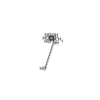 CC1=C(NCCCCCCCCCCCCCCCCO)N2[C@H](O)[C@H](O)[C@@H](O)[C@H](O)[C@H]12